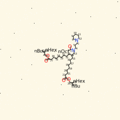 CCCCCCCCC(=O)N(CCCN1CCCCC1)CC(CCCCCCCCC(=O)OCC(CCCC)CCCCCC)CCCCCCCCC(=O)OCC(CCCC)CCCCCC